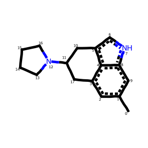 Cc1cc2c3c(c[nH]c3c1)CC(N1CCCC1)C2